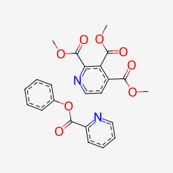 COC(=O)c1ccnc(C(=O)OC)c1C(=O)OC.O=C(Oc1ccccc1)c1ccccn1